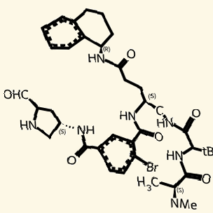 CN[C@@H](C)C(=O)NC(C(=O)NC[C@H](CCC(=O)N[C@@H]1CCCc2ccccc21)NC(=O)c1cc(C(=O)N[C@@H]2CNC(C=O)C2)ccc1Br)C(C)(C)C